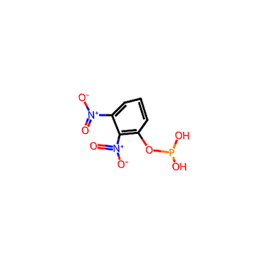 O=[N+]([O-])c1cccc(OP(O)O)c1[N+](=O)[O-]